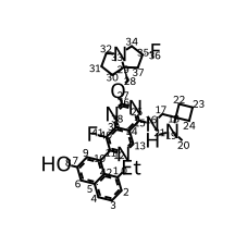 CCc1cccc2cc(O)cc(-c3ncc4c(NCC5(N(C)C)CCC5)nc(OC[C@@]56CCCN5C[C@H](F)C6)nc4c3F)c12